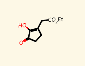 CCOC(=O)CC1=C(O)C(=O)CC1